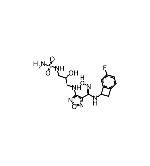 NS(=O)(=O)NCC(O)CNc1nonc1C(=NO)NC1Cc2ccc(F)cc21